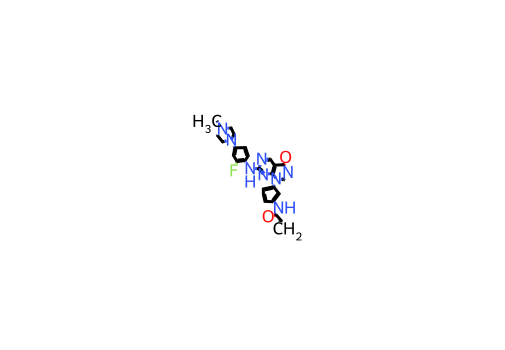 C=CC(=O)Nc1cccc(-n2cnc(=O)c3cnc(Nc4ccc(N5CCN(C)CC5)cc4F)nc32)c1